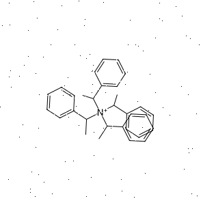 CC(c1ccccc1)[N+](C(C)c1ccccc1)(C(C)c1ccccc1)C(C)c1ccccc1